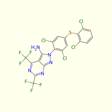 Nc1c2c(C(F)(F)F)nc(C(F)(F)F)nc2nn1-c1c(Cl)cc(Sc2c(Cl)cccc2Cl)cc1Cl